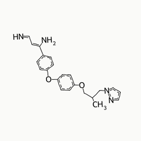 CC(COc1ccc(Oc2ccc(/C(N)=C/C=N)cc2)cc1)Cn1cccn1